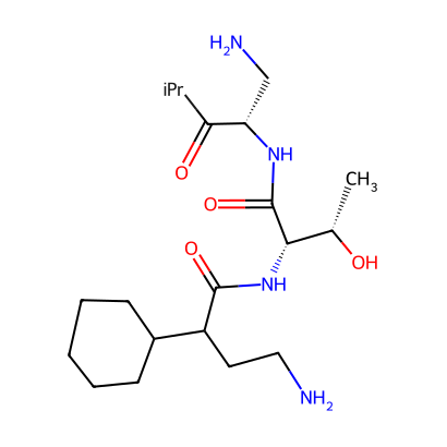 CC(C)C(=O)[C@H](CN)NC(=O)[C@@H](NC(=O)C(CCN)C1CCCCC1)[C@H](C)O